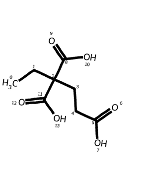 CCC(CCC(=O)O)(C(=O)O)C(=O)O